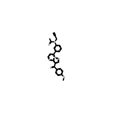 C#CCN(C(C)=O)c1cccc(-c2ccnc3c(C(=O)c4ccc(OC)cc4)cnn23)c1